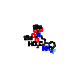 CC(C)(C)OC(=O)N(CCCC(c1cccc(F)c1F)[C@@H](N)C(=O)O)C(=O)OC(C)(C)C